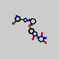 O=C1CC[C@H](N2Cc3cc(O[C@@H]4CCCC[C@@H]4N4CC(c5cncc(Cl)c5)C4)ccc3C2=O)C(=O)N1